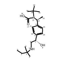 CCC(C)(C)NC[C@@H](O)c1ccc([C@H](C)N(C(=O)O)C(C)(C)C)cc1